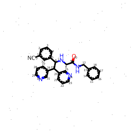 N#Cc1cccc(C(NCC(=O)NCc2ccccc2)C(c2cccnc2)c2cccnc2)c1